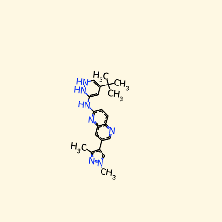 Cc1nn(C)cc1-c1cnc2ccc(NC3=CC(C(C)(C)C)=CNN3)nc2c1